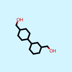 OCC1CCC(C2CCCC(CO)C2)CC1